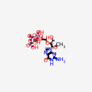 CO[C@H]([C@H](CO)OCCOP(=O)(O)OP(=O)(O)OP(=O)(O)O)n1cnc2c(=O)[nH]c(N)nc21